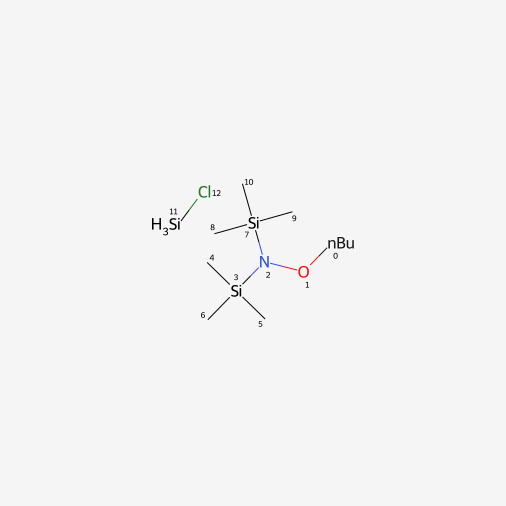 CCCCON([Si](C)(C)C)[Si](C)(C)C.[SiH3]Cl